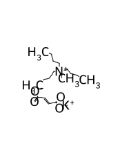 CCCC[N+](C)(CCCC)CCCC.O=C([O-])/C=C/C(=O)[O-].[K+]